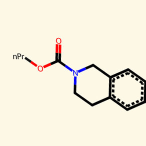 CCCOC(=O)N1CCc2ccccc2C1